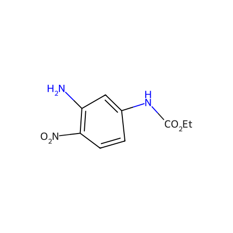 CCOC(=O)Nc1ccc([N+](=O)[O-])c(N)c1